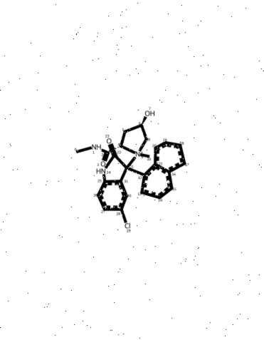 CNC(=O)[C@@H]1C[C@@H](O)C[N+]1(C)C1(c2cccc3ccccc23)C(=O)Nc2ccc(Cl)cc21